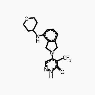 O=c1[nH]ncc(N2Cc3cccc(NC4CCOCC4)c3C2)c1C(F)(F)F